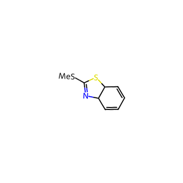 CSC1=NC2C=CC=CC2S1